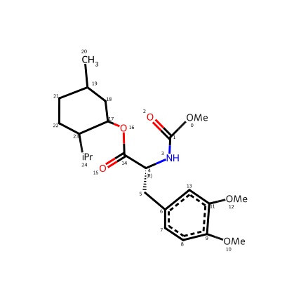 COC(=O)N[C@H](Cc1ccc(OC)c(OC)c1)C(=O)OC1CC(C)CCC1C(C)C